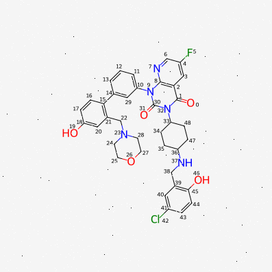 O=c1c2cc(F)cnc2n(-c2cccc(-c3ccc(O)cc3CN3CCOCC3)c2)c(=O)n1C1CCC(NCc2cc(Cl)ccc2O)CC1